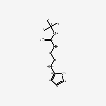 CC(C)(C)OC(=O)NCCNc1cccs1